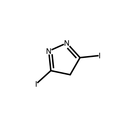 IC1=NN=C(I)C1